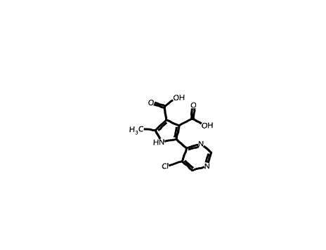 Cc1[nH]c(-c2ncncc2Cl)c(C(=O)O)c1C(=O)O